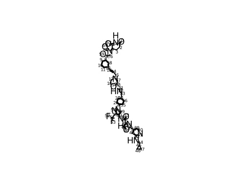 O=C1CCC(N2C[C@H](c3cccc(C#CCN4CCO[C@@H](CNCc5ccc(-n6cc(NC(=O)c7coc(-c8ccnc(NCC9CC9)c8)n7)c(C(F)F)n6)cc5)C4)c3)OC2=O)C(=O)N1